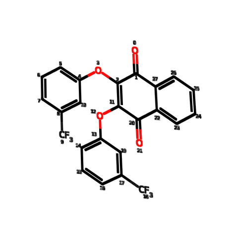 O=C1C(Oc2cccc(C(F)(F)F)c2)=C(Oc2cccc(C(F)(F)F)c2)C(=O)c2ccccc21